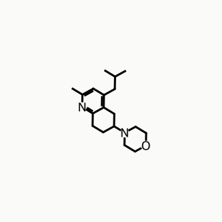 Cc1cc(CC(C)C)c2c(n1)CCC(N1CCOCC1)C2